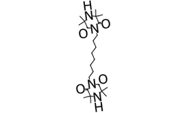 CC1(C)NC(C)(C)C(=O)N(CCCCCCCCN2C(=O)C(C)(C)NC(C)(C)C2=O)C1=O